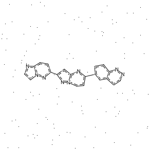 c1cc2cc(-c3ccn4nc(-c5ccc6nccn6n5)cc4n3)ccc2nn1